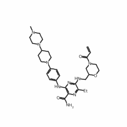 C=CC(=O)N1CCOC(CNc2nc(Nc3ccc(N4CCC(N5CCN(C)CC5)CC4)cc3)c(C(N)=O)nc2CC)C1